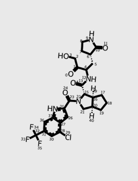 O=C(CO)C(C[C@@H]1CCNC1=O)NC(=O)[C@@H]1[C@H]2CCC[C@H]2CN1C(=O)c1cc2c(Cl)cc(C(F)(F)F)cc2[nH]1